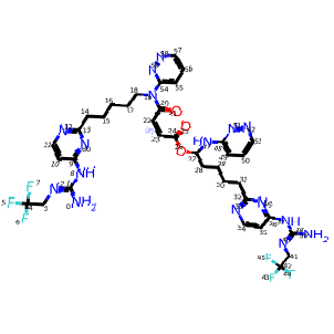 NC(=NCC(F)(F)F)Nc1ccnc(CCCCCN(C(=O)/C=C\C(=O)OC(CCCCc2nccc(NC(N)=NCC(F)(F)F)n2)Nc2cccnn2)c2cccnn2)n1